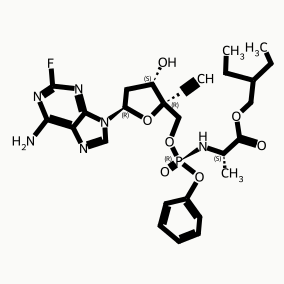 C#C[C@]1(CO[P@](=O)(N[C@@H](C)C(=O)OCC(CC)CC)Oc2ccccc2)O[C@@H](n2cnc3c(N)nc(F)nc32)C[C@@H]1O